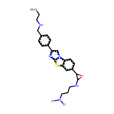 CCN(CC)CCCNC1OC1c1ccc2c(c1)sc1nc(-c3ccc(CNCCOC)cc3)cn12